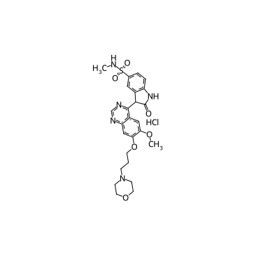 CNS(=O)(=O)c1ccc2c(c1)C(c1ncnc3cc(OCCCN4CCOCC4)c(OC)cc13)C(=O)N2.Cl